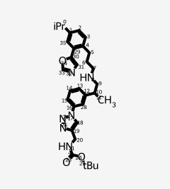 CC(C)c1ccc(CCCNCC(C)c2cccc(-n3cc(CNC(=O)OC(C)(C)C)nn3)c2)c(-c2cnco2)c1